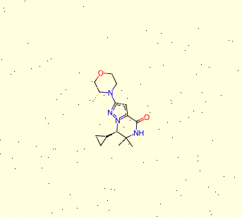 C[C@@H]1COCCN1c1cc2n(n1)[C@H](C1CC1)C(C)(C)NC2=O